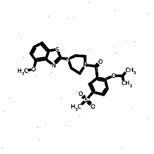 COc1cccc2sc(N3CCN(C(=O)c4cc(S(C)(=O)=O)ccc4OC(C)C)CC3)nc12